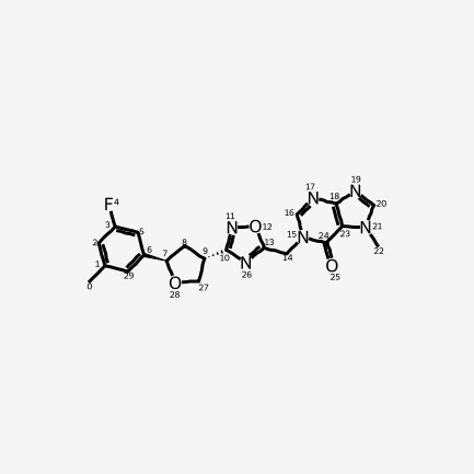 Cc1cc(F)cc([C@H]2C[C@H](c3noc(Cn4cnc5ncn(C)c5c4=O)n3)CO2)c1